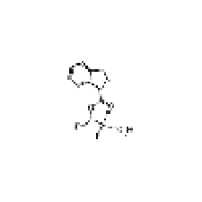 CC(C)C(OC(=O)C1CCc2ccccc21)C(F)(F)C(=O)O